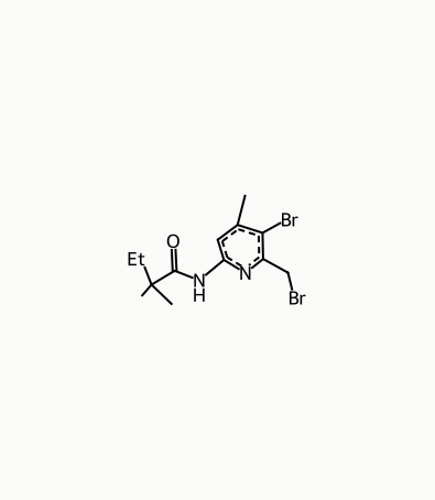 CCC(C)(C)C(=O)Nc1cc(C)c(Br)c(CBr)n1